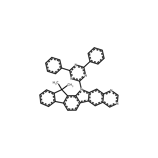 CC1(C)c2ccccc2-c2ccc3c4cc5cncnc5cc4n(-c4nc(-c5ccccc5)nc(-c5ccccc5)n4)c3c21